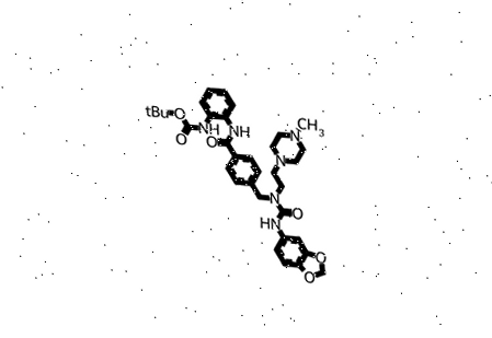 CN1CCN(CCN(Cc2ccc(C(=O)Nc3ccccc3NC(=O)OC(C)(C)C)cc2)C(=O)Nc2ccc3c(c2)OCO3)CC1